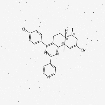 C[C@H]1CC(C#N)=C[C@@]2(C)c3nc(-c4ccncc4)nc(-c4ccc(Cl)cc4)c3CC[C@H]12